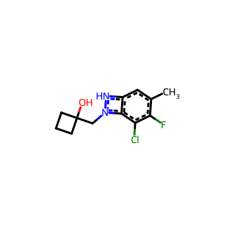 Cc1cc2[nH]n(CC3(O)CCC3)c2c(Cl)c1F